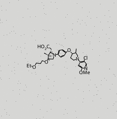 CCOCCCO[C@H]1CN(c2ccc(OC3CCN(c4cc(OC)ncc4Cl)CC3C)cc2)[C@@H](CC(=O)O)[C@@H]1C